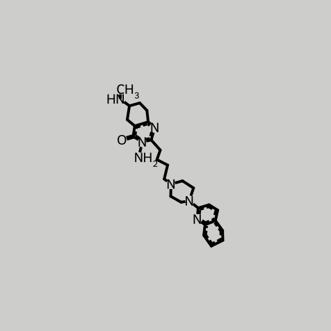 CNC1CCc2nc(CCCCN3CCN(c4ccc5ccccc5n4)CC3)n(N)c(=O)c2C1